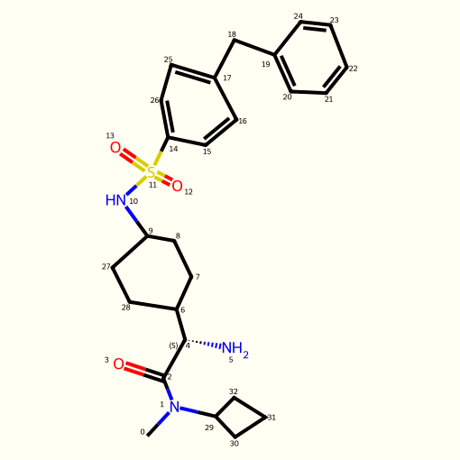 CN(C(=O)[C@@H](N)C1CCC(NS(=O)(=O)c2ccc(Cc3ccccc3)cc2)CC1)C1CCC1